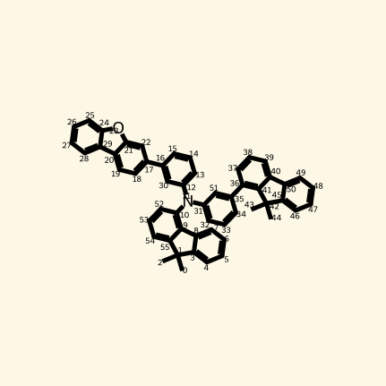 CC1(C)c2ccccc2-c2c(N(c3cccc(-c4ccc5c(c4)oc4ccccc45)c3)c3cccc(-c4cccc5c4C(C)(C)c4ccccc4-5)c3)cccc21